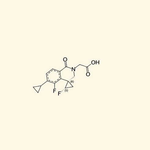 O=C(O)CN1C[C@@]2(C[C@@H]2F)c2c(ccc(C3CC3)c2F)C1=O